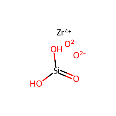 O=[Si](O)O.[O-2].[O-2].[Zr+4]